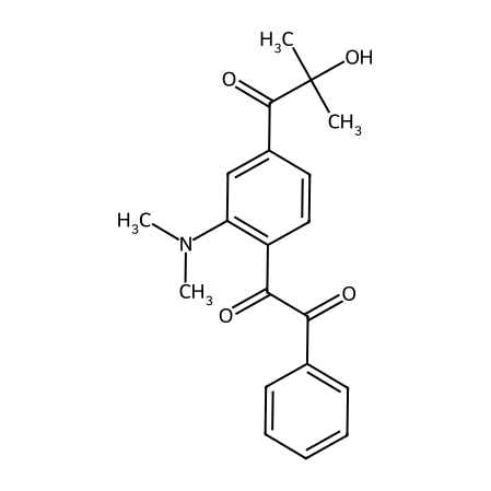 CN(C)c1cc(C(=O)C(C)(C)O)ccc1C(=O)C(=O)c1ccccc1